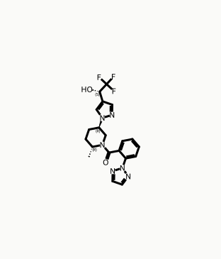 C[C@@H]1CC[C@@H](n2cc([C@H](O)C(F)(F)F)cn2)CN1C(=O)c1ccccc1-n1nccn1